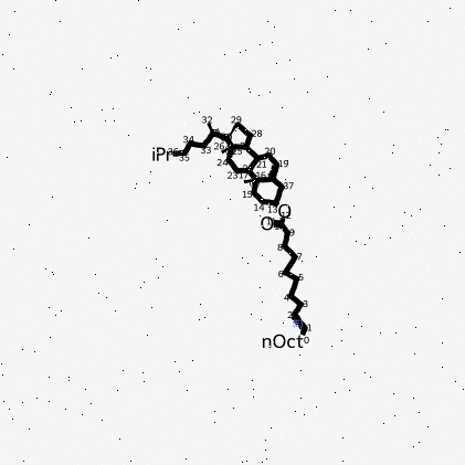 CCCCCCCC/C=C/CCCCCCCC(=O)OC1CC[C@@]2(C)C(=CCC3C2CC[C@@]2(C)C3CC[C@@H]2[C@H](C)CCCC(C)C)C1